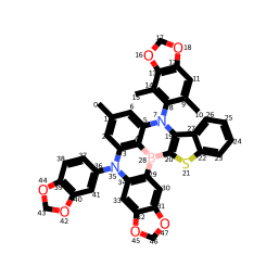 Cc1cc2c3c(c1)N(c1c(C)cc4c(c1C)OCO4)c1c(sc4ccccc14)B3c1cc3c(cc1N2c1ccc2c(c1)OCO2)OCO3